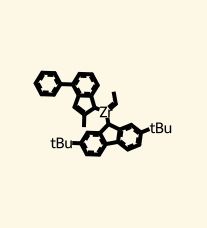 C[CH]=[Zr]([CH]1C(C)=Cc2c(-c3ccccc3)cccc21)[CH]1c2cc(C(C)(C)C)ccc2-c2ccc(C(C)(C)C)cc21